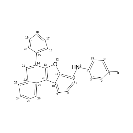 Cc1ccc(Nc2cccc3c2oc2c(-c4ccccc4)cc4ccccc4c23)cc1